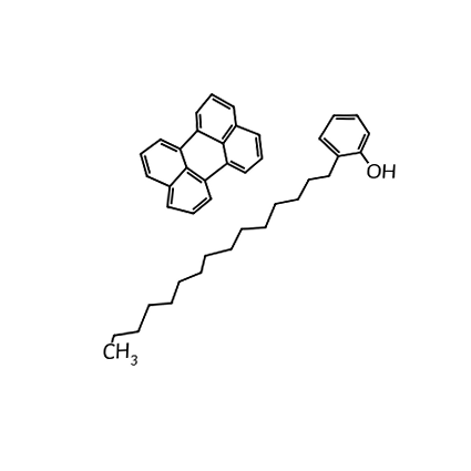 CCCCCCCCCCCCCCCc1ccccc1O.c1cc2cccc3c4cccc5cccc(c(c1)c23)c54